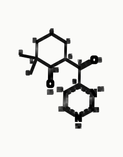 CC1(C)CCCC(C(=O)c2ccncn2)C1=O